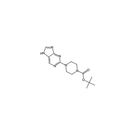 CC(C)(C)OC(=O)N1CCN(c2ncc3[nH]cnc3n2)CC1